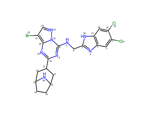 Clc1cc2nc(CNc3nc(C4CC5CCC(C4)N5)nc4c(Br)cnn34)[nH]c2cc1Cl